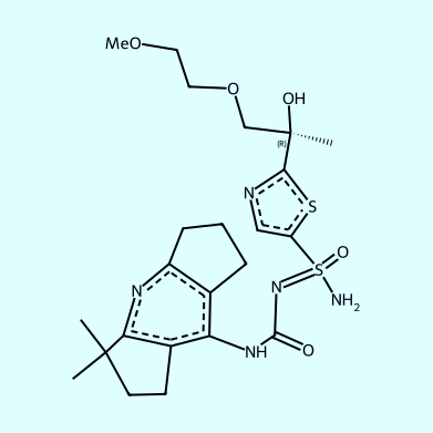 COCCOC[C@@](C)(O)c1ncc(S(N)(=O)=NC(=O)Nc2c3c(nc4c2CCC4(C)C)CCC3)s1